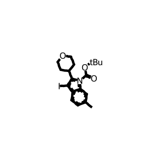 Cc1ccc2c(I)c(C3CCOCC3)n(C(=O)OC(C)(C)C)c2c1